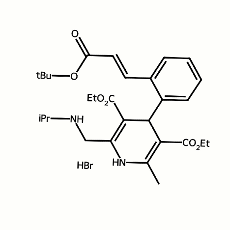 Br.CCOC(=O)C1=C(C)NC(CNC(C)C)=C(C(=O)OCC)C1c1ccccc1C=CC(=O)OC(C)(C)C